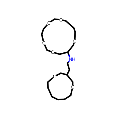 C1CCCCCCCC(NCCC2CCCCCCCCCC2)CCCCCC1